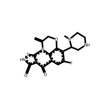 C=C1COc2c(C3CNCCN3C)c(F)cc3c(=O)c4c(=O)[nH]sc4n1c23